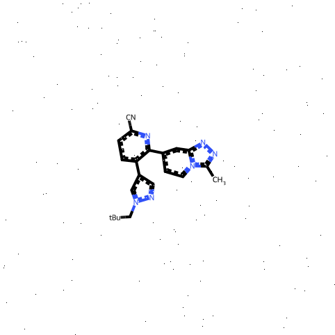 Cc1nnc2cc(-c3nc(C#N)ccc3-c3cnn(CC(C)(C)C)c3)ccn12